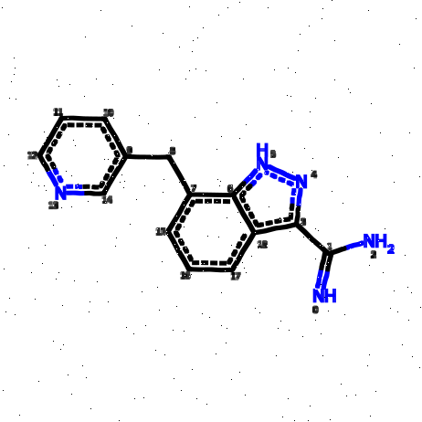 N=C(N)c1n[nH]c2c(Cc3cccnc3)cccc12